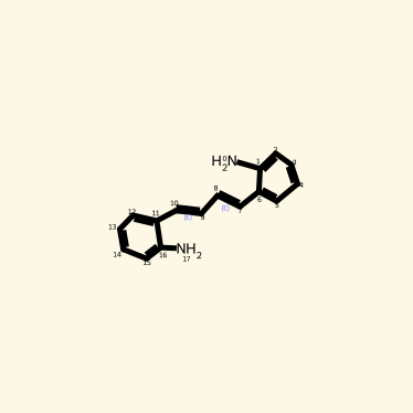 Nc1ccccc1/C=C/C=C/c1ccccc1N